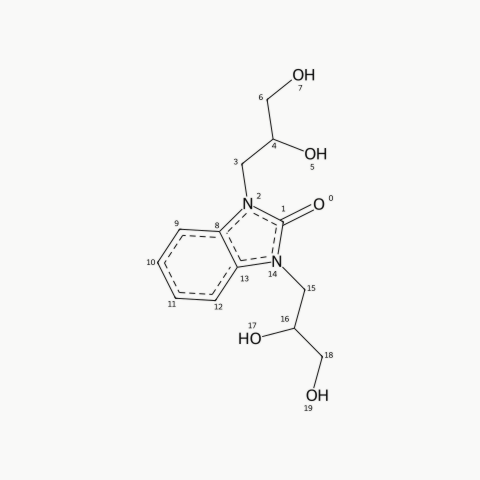 O=c1n(CC(O)CO)c2ccccc2n1CC(O)CO